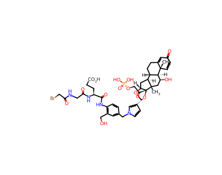 C[C@]12C=CC(=O)C=C1CC[C@@H]1[C@@H]2[C@@H](O)C[C@@]2(C)[C@H]1C[C@H]1O[C@@H](c3ccn(Cc4ccc(NC(=O)[C@H](CCC(=O)O)NC(=O)CNC(=O)CBr)c(CO)c4)c3)O[C@]12C(=O)COP(=O)(O)O